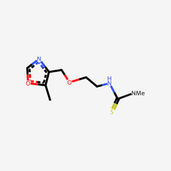 CNC(=S)NCCOCc1ncoc1C